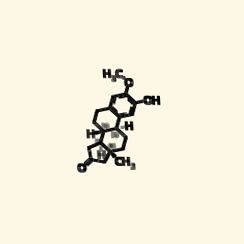 COc1cc2c(cc1O)[C@H]1CC[C@]3(C)CC(=O)C[C@H]3[C@@H]1CC2